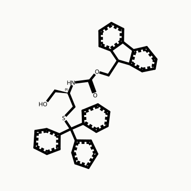 O=C(N[C@H](CO)CSC(c1ccccc1)(c1ccccc1)c1ccccc1)OCC1c2ccccc2-c2ccccc21